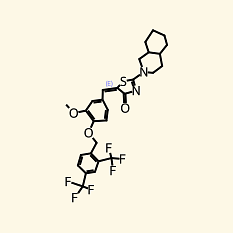 COc1cc(/C=C2/SC(N3CCC4CCCCC4C3)=NC2=O)ccc1OCc1ccc(C(F)(F)F)cc1C(F)(F)F